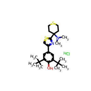 CN(C)C1(c2nc(-c3cc(C(C)(C)C)c(O)c(C(C)(C)C)c3)cs2)CCSCC1.Cl